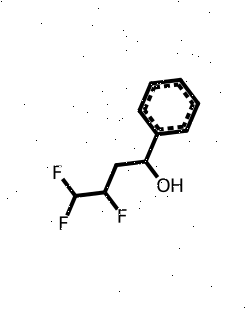 OC(CC(F)C(F)F)c1ccccc1